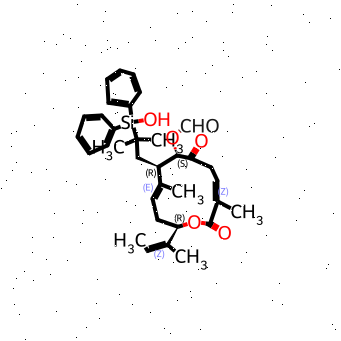 C/C=C(/C)[C@H]1C/C=C(\C)[C@@H](CC(C)(C)[Si](O)(c2ccccc2)c2ccccc2)[C@H](OC=O)C(=O)C/C=C(/C)C(=O)O1